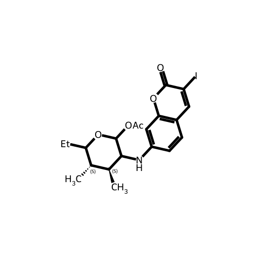 CCC1OC(OC(C)=O)C(Nc2ccc3cc(I)c(=O)oc3c2)[C@@H](C)[C@@H]1C